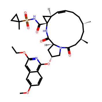 CCOc1cc2cc(OC)ccc2c(O[C@@H]2C[C@H]3C(=O)N[C@]4(C(=O)NS(=O)(=O)C5(C)CC5)C[C@H]4/C=C\CC[C@H](C)C[C@@H](C)CC(=O)N3C2)n1